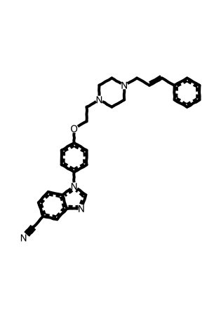 N#Cc1ccc2c(c1)ncn2-c1ccc(OCCN2CCN(CC=Cc3ccccc3)CC2)cc1